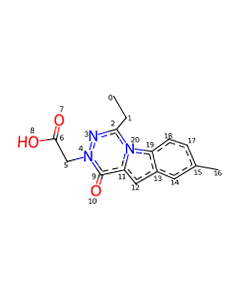 CCc1nn(CC(=O)O)c(=O)c2cc3cc(C)ccc3n12